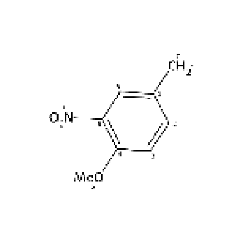 [CH2]c1ccc(OC)c([N+](=O)[O-])c1